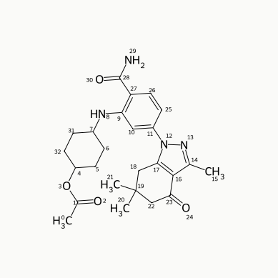 CC(=O)OC1CCC(Nc2cc(-n3nc(C)c4c3CC(C)(C)CC4=O)ccc2C(N)=O)CC1